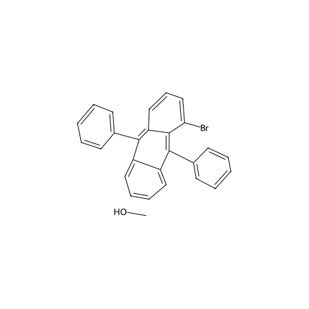 Brc1cccc2c(-c3ccccc3)c3ccccc3c(-c3ccccc3)c12.CO